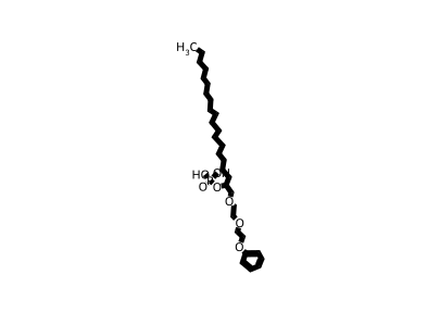 CCCCCCCCCCCCCCCCCCC(COCCOCCOc1ccccc1)OP(=O)(O)O